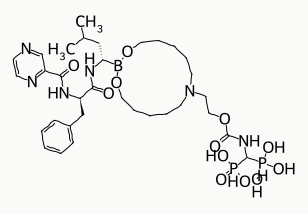 CC(C)C[C@@H](NC(=O)[C@@H](Cc1ccccc1)NC(=O)c1cnccn1)B1OCCCCCN(CCOC(=O)NC(P(=O)(O)O)[PH](O)(O)O)CCCCCO1